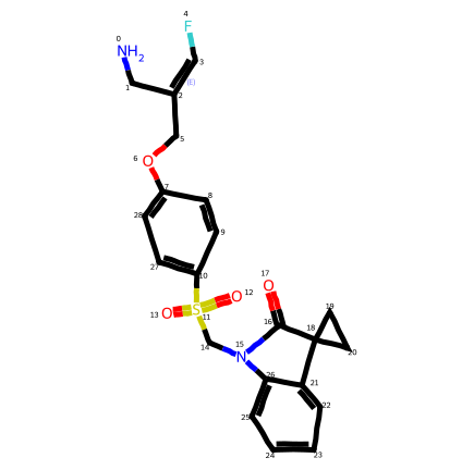 NC/C(=C\F)COc1ccc(S(=O)(=O)CN2C(=O)C3(CC3)c3ccccc32)cc1